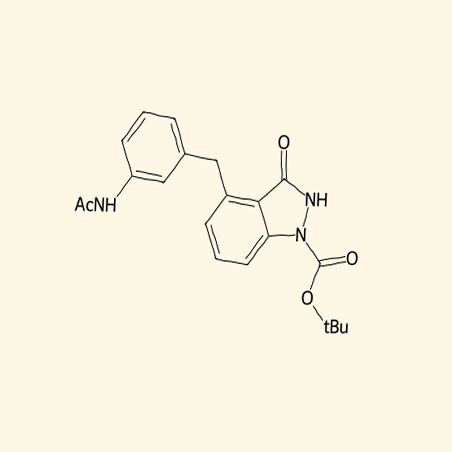 CC(=O)Nc1cccc(Cc2cccc3c2c(=O)[nH]n3C(=O)OC(C)(C)C)c1